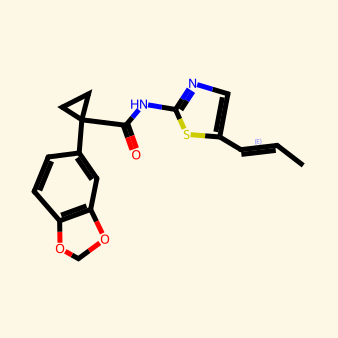 C/C=C/c1cnc(NC(=O)C2(c3ccc4c(c3)OCO4)CC2)s1